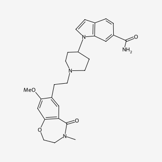 COc1cc2c(cc1CCN1CCC(n3ccc4ccc(C(N)=O)cc43)CC1)C(=O)N(C)CCO2